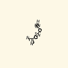 CC(CC(c1ccc2nc(-c3cccc(-c4nn[nH]n4)c3)sc2c1)n1ccnc1)N(C)C